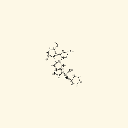 CSc1ccc(F)cc1[C@H]1C[C@H](F)CN1c1ccc2ncc(C(=S)NC3CCCCC3)n2n1